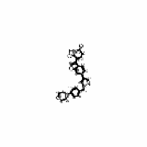 O=C1CCC(c2coc3cc(-c4cnn(Cc5ccc(N6CCOCC6)cc5)c4)ccc23)C(=O)N1